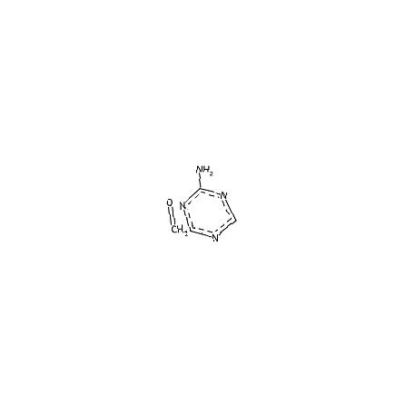 C=O.Nc1ncncn1